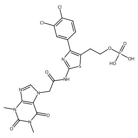 Cn1c(=O)c2c(ncn2CC(=O)Nc2nc(-c3ccc(Cl)c(Cl)c3)c(CCOP(=O)(O)O)s2)n(C)c1=O